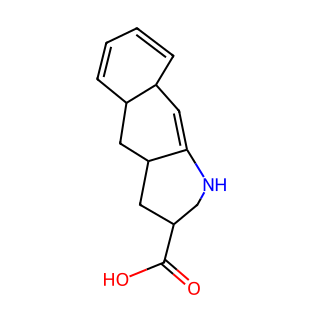 O=C(O)C1CNC2=CC3C=CC=CC3CC2C1